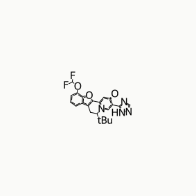 CC(C)(C)C1Cc2c(oc3c(OC(F)F)cccc23)-c2cc(=O)c(-c3ncn[nH]3)cn21